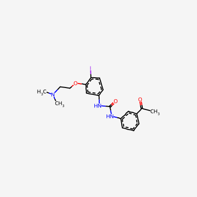 CC(=O)c1cccc(NC(=O)Nc2ccc(I)c(OCCN(C)C)c2)c1